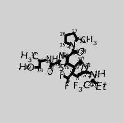 CCC(Nc1cc(C(F)F)c(-c2sc(C(=O)NC(C)CO)nc2C(=O)N2CCC[C@@H]2C)cn1)C(F)(F)F